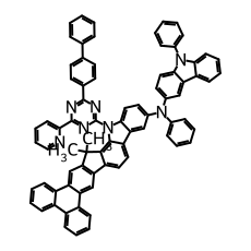 CC1(C)c2cc3c4ccccc4c4ccccc4c3cc2-c2ccc3c4cc(N(c5ccccc5)c5ccc6c(c5)c5ccccc5n6-c5ccccc5)ccc4n(-c4nc(-c5ccc(-c6ccccc6)cc5)nc(-c5ccccn5)n4)c3c21